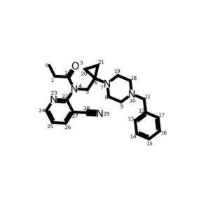 CCC(=O)N(CC1(N2CCN(Cc3ccccc3)CC2)CC1)c1ncccc1C#N